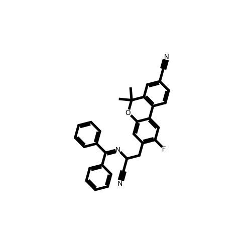 CC1(C)Oc2cc(CC(C#N)N=C(c3ccccc3)c3ccccc3)c(F)cc2-c2ccc(C#N)cc21